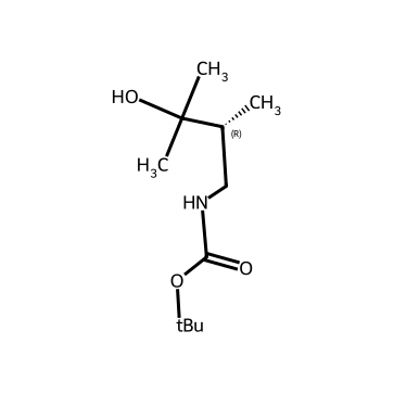 C[C@H](CNC(=O)OC(C)(C)C)C(C)(C)O